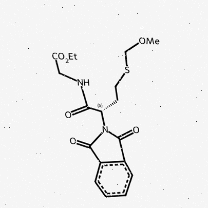 CCOC(=O)CNC(=O)[C@H](CCSCOC)N1C(=O)c2ccccc2C1=O